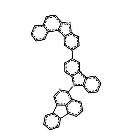 c1ccc2c(c1)-c1cccc3c(-n4c5ccccc5c5cc(-c6ccc7oc8ccc9ccccc9c8c7c6)ccc54)ncc-2c13